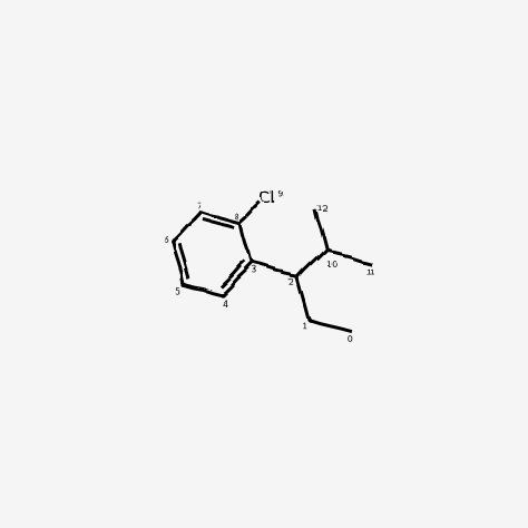 CCC(c1ccccc1Cl)C(C)C